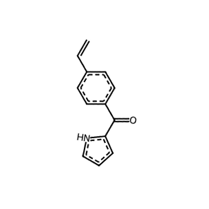 C=Cc1ccc(C(=O)c2ccc[nH]2)cc1